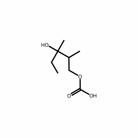 CCC(C)(O)C(C)COC(=O)O